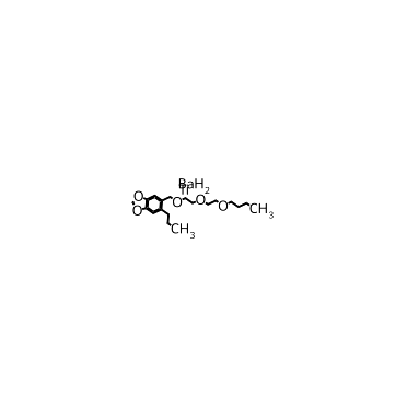 CCCCOCCOCCOCc1cc2c(cc1CCC)OCO2.[BaH2].[Ti]